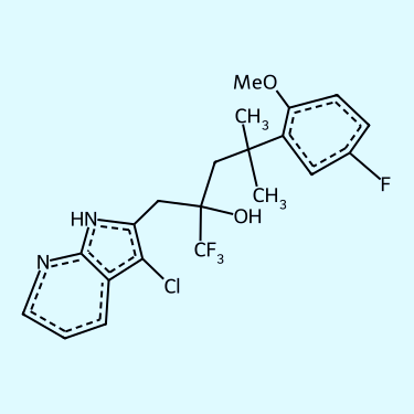 COc1ccc(F)cc1C(C)(C)CC(O)(Cc1[nH]c2ncccc2c1Cl)C(F)(F)F